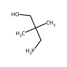 CC(C)(CO)CP